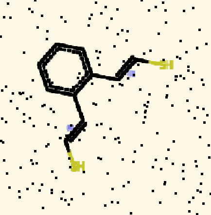 S/C=C/c1ccccc1/C=C/S